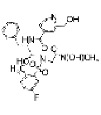 Cc1ccc(F)cc1S(=O)(=O)N(CC(=O)N(C)O)C[C@@H](O)[C@H](Cc1ccccc1)NC(=O)c1ccnc(CO)c1